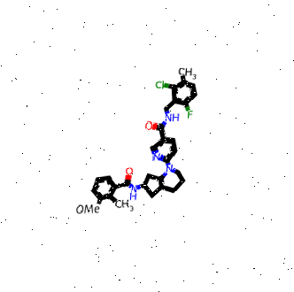 COc1cccc(C(=O)NC2CC3CCCN(c4ccc(C(=O)NCc5c(F)ccc(C)c5Cl)cn4)C3C2)c1C